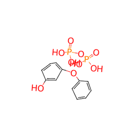 O=P(O)(O)OP(=O)(O)O.Oc1cccc(Oc2ccccc2)c1